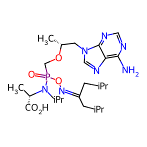 CC(C)CC(CC(C)C)=NOP(=O)(CO[C@H](C)Cn1cnc2c(N)ncnc21)N(C(C)C)[C@@H](C)C(=O)O